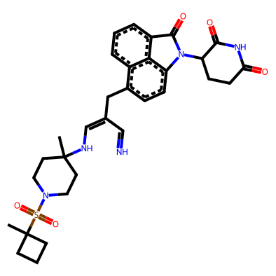 CC1(N/C=C(\C=N)Cc2ccc3c4c(cccc24)C(=O)N3C2CCC(=O)NC2=O)CCN(S(=O)(=O)C2(C)CCC2)CC1